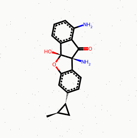 C[C@@H]1C[C@H]1c1ccc2c(c1)O[C@]1(O)c3cccc(N)c3C(=O)[C@]21N